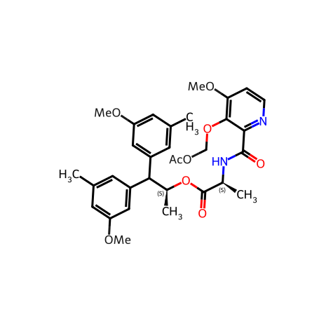 COc1cc(C)cc(C(c2cc(C)cc(OC)c2)[C@H](C)OC(=O)[C@H](C)NC(=O)c2nccc(OC)c2OCOC(C)=O)c1